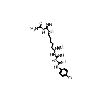 Cl.Cl.N=C(NCCCCCCNC(=N)NC(N)=O)NC(=N)Nc1ccc(Cl)cc1